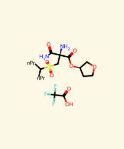 CCCC(CCC)S(=O)(=O)C[C@](N)(C(N)=O)C(=O)O[C@@H]1CCOC1.O=C(O)C(F)(F)F